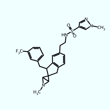 CN1C2C1C21Cc2ccc(CCNS(=O)(=O)c3cnn(C)c3)cc2C1Cc1cccc(C(F)(F)F)c1